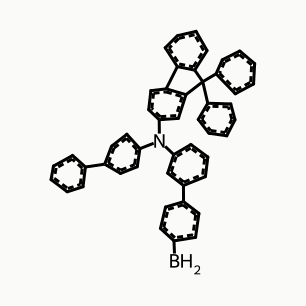 Bc1ccc(-c2cccc(N(c3ccc(-c4ccccc4)cc3)c3ccc4c(c3)C(c3ccccc3)(c3ccccc3)c3ccccc3-4)c2)cc1